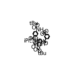 CC(C)C[C@H](NC(=O)c1ccc(NC(=O)OC(C)(C)C)cc1)C(=O)N1[C@H]2[C@@H](CN1C(=O)OC(C)(C)C)N(C(=O)c1cccc(S(C)(=O)=O)c1)C[C@@H]2O